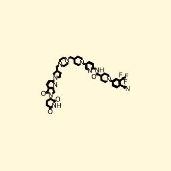 N#Cc1ccc(N2CCC(C(=O)Nc3ccc(N4CCC(CN5CCN(CC6CCN(c7ccc8c(n7)CN(C7CCC(=O)NC7=O)C8=O)C6)CC5)CC4)cn3)CC2)cc1C(F)(F)F